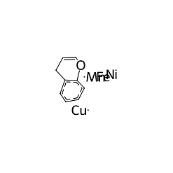 C1=COc2ccccc2C1.[Cu].[Fe].[Mn].[Ni]